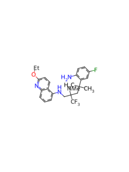 CCOc1ccc2c(NCC(CC(C)(C)c3cc(F)ccc3N)(NC)C(F)(F)F)cccc2n1